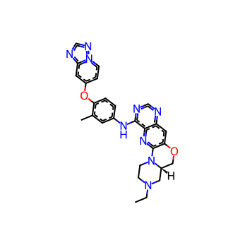 CCN1CCN2c3nc4c(Nc5ccc(Oc6ccn7ncnc7c6)c(C)c5)ncnc4cc3OC[C@@H]2C1